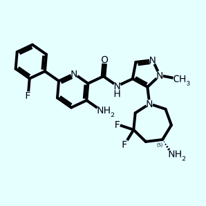 Cn1ncc(NC(=O)c2nc(-c3ccccc3F)ccc2N)c1N1CC[C@H](N)CC(F)(F)C1